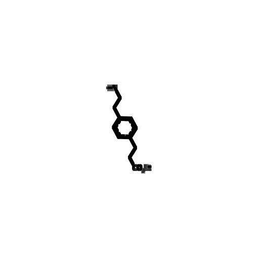 CCOC(=O)CCc1ccc(CC[NH])cc1